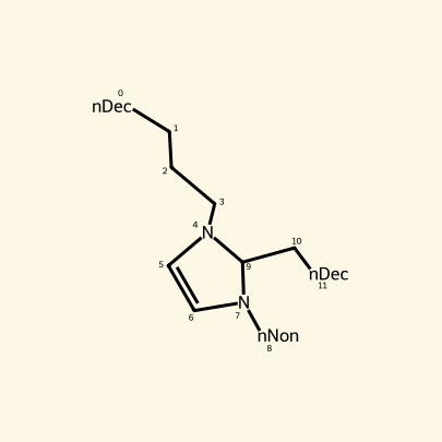 CCCCCCCCCCCCCN1C=CN(CCCCCCCCC)C1CCCCCCCCCCC